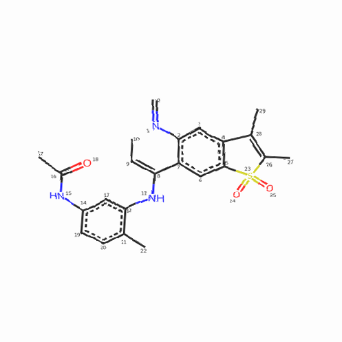 C=Nc1cc2c(cc1/C(=C\C)Nc1cc(NC(C)=O)ccc1C)S(=O)(=O)C(C)=C2C